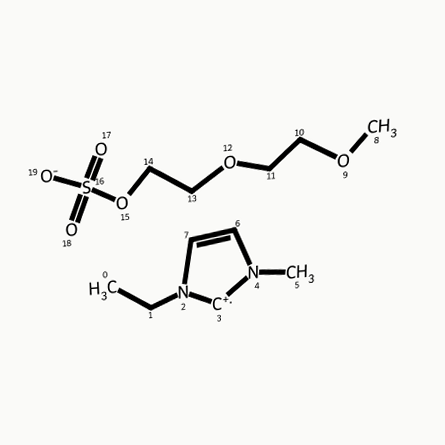 CCN1[C+]N(C)C=C1.COCCOCCOS(=O)(=O)[O-]